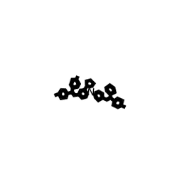 Cc1ccc(C(=Cc2ccc3c(c2)C2CCCC2N3c2ccc(/C=C(\c3ccccc3)c3ccc(C)cc3)cc2)c2ccc(C)cc2)cc1